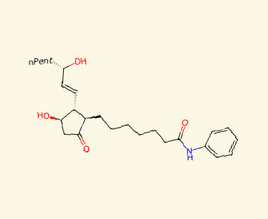 CCCCC[C@H](O)/C=C/[C@H]1[C@H](O)CC(=O)[C@@H]1CCCCCCC(=O)Nc1ccccc1